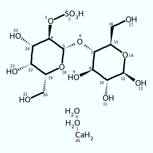 O.O.O=S(=O)(O)O[C@H]1[C@H](O[C@H]2[C@H](O)[C@@H](O)[C@H](O)O[C@@H]2CO)O[C@H](CO)[C@H](O)[C@@H]1O.[CaH2]